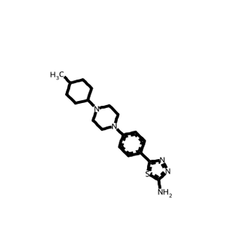 CC1CCC(N2CCN(c3ccc(-c4nnc(N)s4)cc3)CC2)CC1